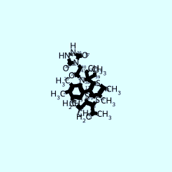 C=C(C)C1=C(C(=C)C)SC2(S1)C(C)=C(C)SC1=C2c2cc(C)c(C)c(C)c2N(C(=O)Cn2c(=O)[nH][nH]c2=O)C1(CC)CC